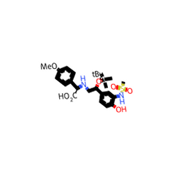 COc1ccc([C@H](NCC(O[Si](C)(C)C(C)(C)C)c2ccc(O)c(NS(C)(=O)=O)c2)C(=O)O)cc1